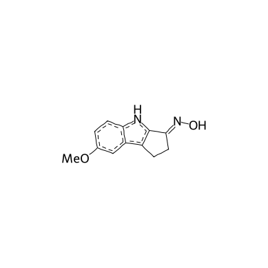 COc1ccc2[nH]c3c(c2c1)CC/C3=N\O